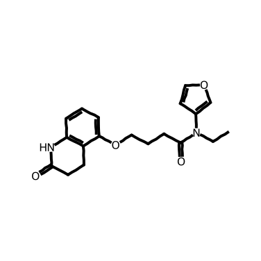 CCN(C(=O)CCCOc1cccc2c1CCC(=O)N2)c1ccoc1